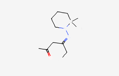 CCC(CC(C)=O)=NN1CCCC[Si]1(C)C